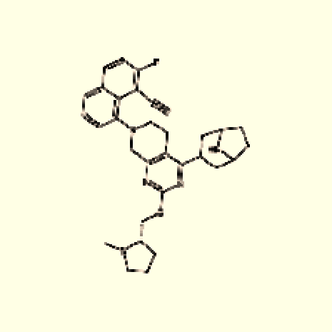 C#Cc1c(F)ccc2cccc(N3CCc4c(nc(OC[C@@H]5CCCN5C)nc4C4CC5CCC(C4)N5)C3)c12